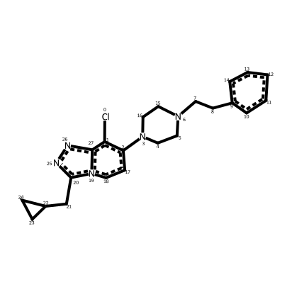 Clc1c(N2CCN(CCc3ccccc3)CC2)ccn2c(CC3CC3)nnc12